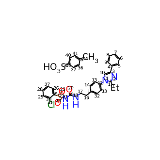 CCc1nc(-c2ccccc2)cn1-c1ccc(CCNC(=O)NS(=O)(=O)c2ccccc2Cl)cc1.Cc1ccc(S(=O)(=O)O)cc1